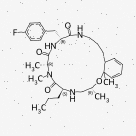 CCC[C@@H]1NC[C@@H](C)OC2(C)C=CC=CC2CCCNC(=O)[C@@H](Cc2ccc(F)cc2)NC(=O)[C@@H](C)N(C)C1=O